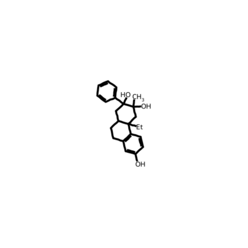 CCC12CC(C)(O)C(O)(c3ccccc3)CC1CCc1cc(O)ccc12